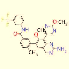 COc1ncc(-c2c(OC)c(-c3cc(C(=O)Nc4cccc(C(F)(F)F)c4)ccc3C)cc3cnc(N)nc23)cn1